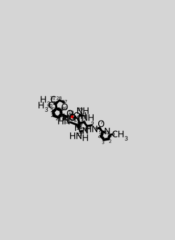 Cc1cccc(C(=O)NCC2NC(=N)N3CC(NC(=O)c4cccc5c4OCCC5(C)C)[C@](C)(O)C34C2NC(=N)N4O)n1